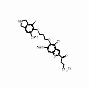 CCOC(=O)CCC(=O)c1cc2c(Cl)c(OCCCOc3c(OC)cc4c(c3F)CNC4)c(OC)cc2s1